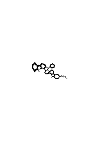 NC1CCc2oc3ccc(-c4ccccc4N4c5ccc6c(oc7ccccc76)c5C5=CC=CCC54)cc3c2C1